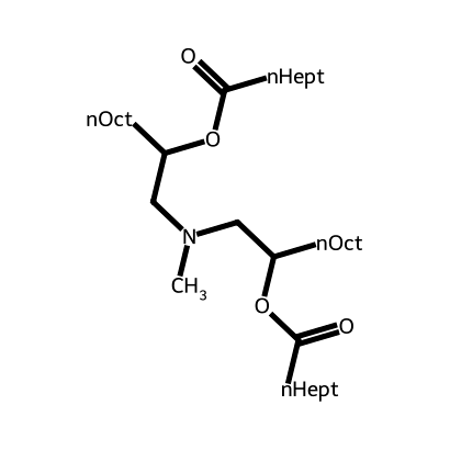 CCCCCCCCC(CN(C)CC(CCCCCCCC)OC(=O)CCCCCCC)OC(=O)CCCCCCC